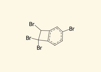 Brc1ccc2c(c1)C(Br)C2(Br)Br